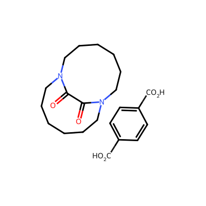 O=C(O)c1ccc(C(=O)O)cc1.O=C1C(=O)N2CCCCCCN1CCCCCC2